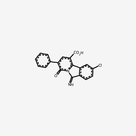 N=C1c2ccc(Cl)cc2-c2c(C(=O)O)cc(-c3ccccc3)c(=O)n21